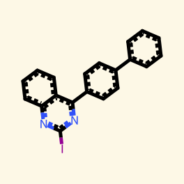 Ic1nc(-c2ccc(-c3ccccc3)cc2)c2ccccc2n1